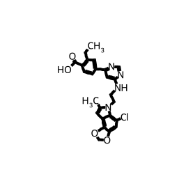 CCc1cc(-c2cc(NCCn3c(C)cc4c5c(cc(Cl)c43)OCO5)ncn2)ccc1C(=O)O